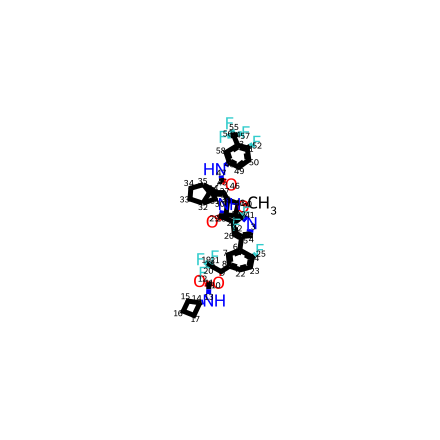 COc1ncc(-c2cc([C@H](OC(=O)NC3CCC3)C(F)(F)F)ccc2F)cc1C(=O)N[C@@H]1C2CCC(/C2=C/C2CC(F)(F)C2)[C@@H]1C(=O)Nc1ccc(F)c(C(F)(F)F)c1